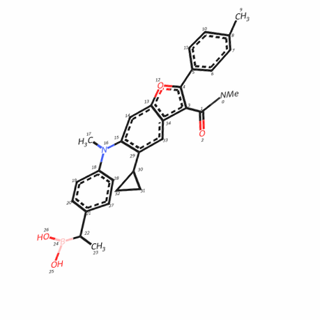 CNC(=O)c1c(-c2ccc(C)cc2)oc2cc(N(C)c3ccc(C(C)B(O)O)cc3)c(C3CC3)cc12